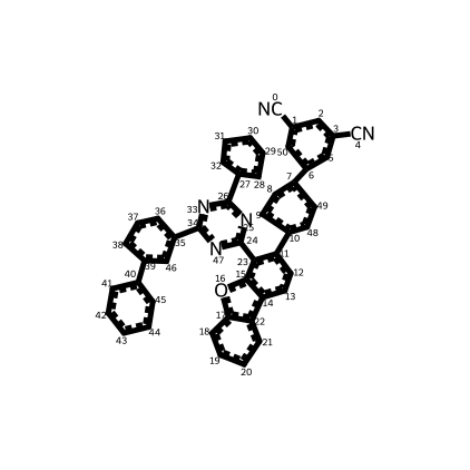 N#Cc1cc(C#N)cc(-c2ccc(-c3ccc4c(oc5ccccc54)c3-c3nc(-c4ccccc4)nc(-c4cccc(-c5ccccc5)c4)n3)cc2)c1